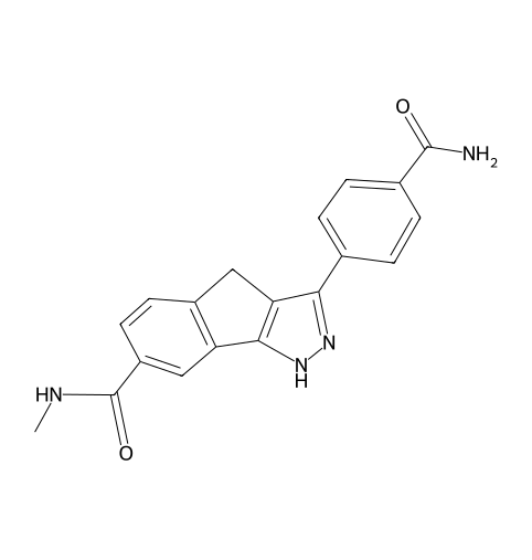 CNC(=O)c1ccc2c(c1)-c1[nH]nc(-c3ccc(C(N)=O)cc3)c1C2